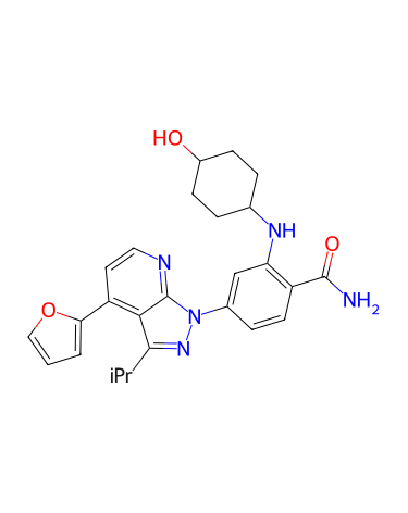 CC(C)c1nn(-c2ccc(C(N)=O)c(NC3CCC(O)CC3)c2)c2nccc(-c3ccco3)c12